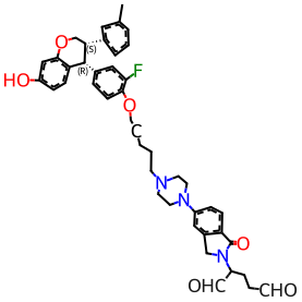 Cc1cccc([C@H]2COc3cc(O)ccc3[C@H]2c2ccc(OCCCCCN3CCN(c4ccc5c(c4)CN(C(C=O)CCC=O)C5=O)CC3)c(F)c2)c1